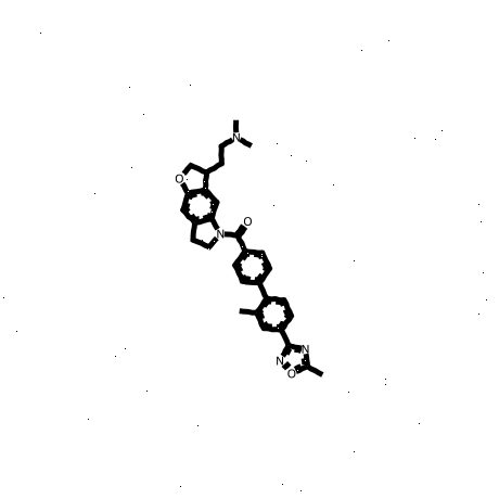 Cc1nc(-c2ccc(-c3ccc(C(=O)N4CCc5cc6c(cc54)C(CCN(C)C)CO6)cc3)c(C)c2)no1